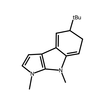 Cn1ccc2c3c(n(C)c21)=CCC(C(C)(C)C)C=3